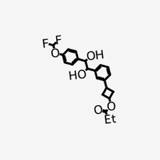 CCC(=O)OC1CC(c2cccc(C(O)C(O)c3ccc(OC(F)F)cc3)c2)C1